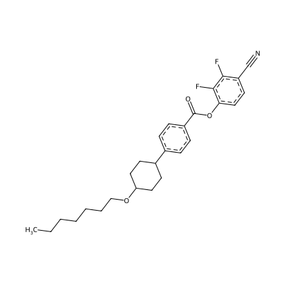 CCCCCCCOC1CCC(c2ccc(C(=O)Oc3ccc(C#N)c(F)c3F)cc2)CC1